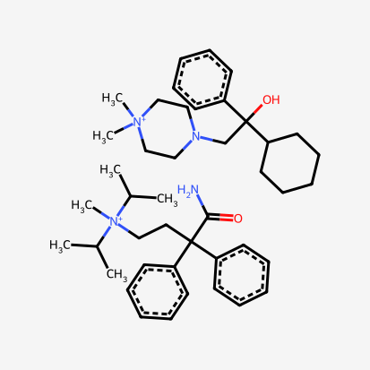 CC(C)[N+](C)(CCC(C(N)=O)(c1ccccc1)c1ccccc1)C(C)C.C[N+]1(C)CCN(CC(O)(c2ccccc2)C2CCCCC2)CC1